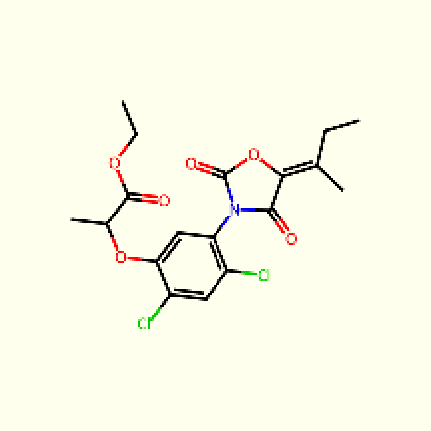 CCOC(=O)C(C)Oc1cc(N2C(=O)OC(=C(C)CC)C2=O)c(Cl)cc1Cl